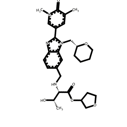 Cc1cc(-c2nc3ccc(CN[C@H](C(=O)OC4CCOC4)[C@H](C)O)cc3n2C[C@H]2CCCCO2)cn(C)c1=O